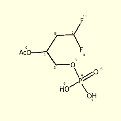 CC(=O)OC(COP(=O)(O)O)CC(F)F